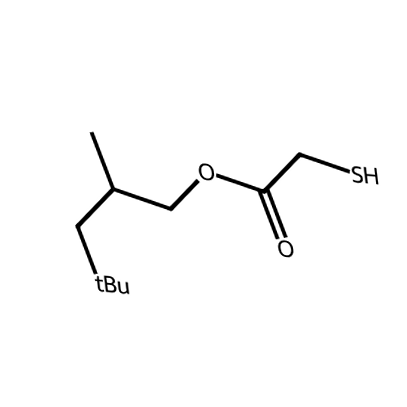 CC(COC(=O)CS)CC(C)(C)C